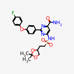 CC1(C)OCC(CCS(=O)(=O)Nc2cc(C(N)=O)nc(-c3ccc(Oc4ccc(F)cc4)cc3)n2)O1